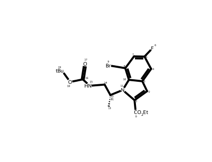 CCOC(=O)c1cc2cc(F)cc(Br)c2n1[C@H](C)CNC(=O)OC(C)(C)C